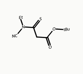 CCN(C#N)C(=S)CC(=O)OC(C)(C)C